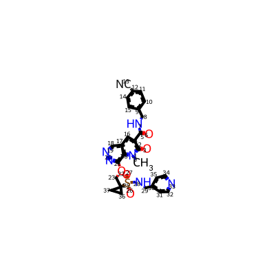 Cn1c(=O)c(C(=O)NCc2ccc(C#N)cc2)cc2cnnc(OCC3(S(=O)(=O)NCc4ccncc4)CC3)c21